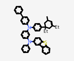 CCC1=CC(C)CC(CC)(c2ccc(N(c3ccc(-c4ccccc4)cc3)c3cccc(N(c4ccccc4)c4ccc5sc6ccccc6c5c4)c3)cc2)C1